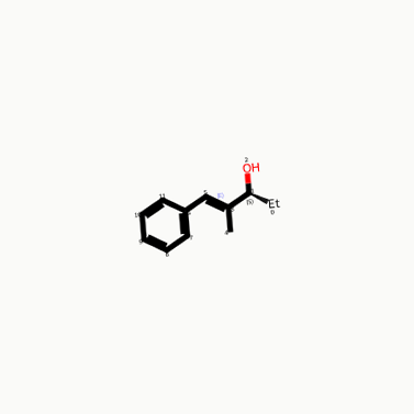 CC[C@H](O)/C(C)=C/c1ccccc1